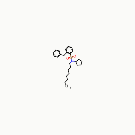 CCCCCCCCN(C1CCCC1)S(=O)(=O)c1ccccc1Cc1ccccc1